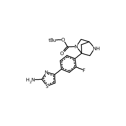 CC(C)(C)OC(=O)N1CC2CC1(c1ccc(-c3csc(N)n3)cc1F)CN2